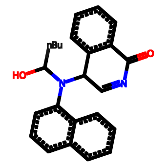 CCCCC(O)N(c1cccc2ccccc12)C1C=NC(=O)c2ccccc21